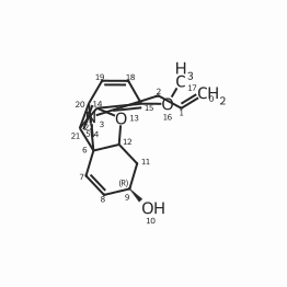 C=CCN1CCC23C=C[C@H](O)CC2Oc2c(OC)ccc(c23)C1